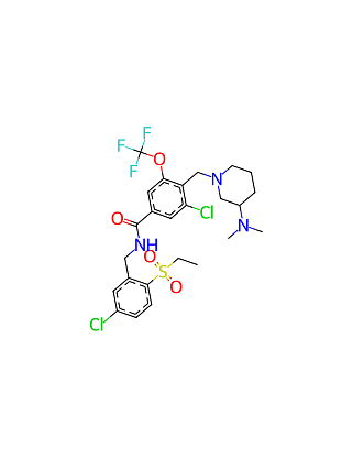 CCS(=O)(=O)c1ccc(Cl)cc1CNC(=O)c1cc(Cl)c(CN2CCCC(N(C)C)C2)c(OC(F)(F)F)c1